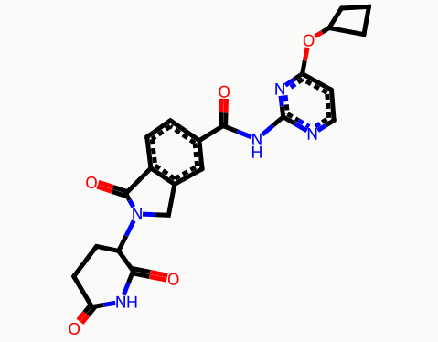 O=C1CCC(N2Cc3cc(C(=O)Nc4nccc(OC5CCC5)n4)ccc3C2=O)C(=O)N1